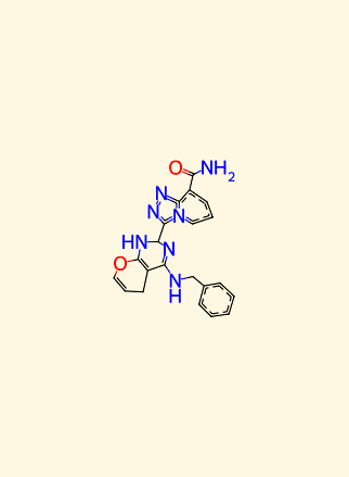 NC(=O)c1cccn2c(C3N=C(NCc4ccccc4)C4=C(N3)OC=CC4)nnc12